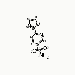 NS(=O)(=O)c1ccc(-c2ncco2)nc1